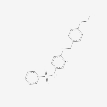 CC(C)(C)SNc1ccc(CNc2ccc(NS(=O)(=O)c3ccccc3)cc2)cc1